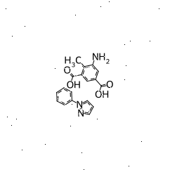 Cc1c(N)cc(C(=O)O)cc1C(=O)O.c1ccc(-n2cccn2)cc1